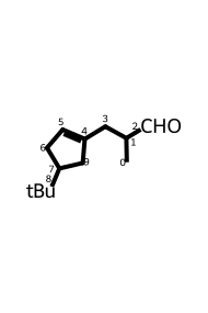 CC(C=O)CC1=CCC(C(C)(C)C)C1